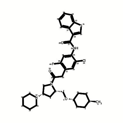 C[C@H]1CC[C@H](OC[C@@H]2C[C@H](N3CCCCC3)CN2C(=O)Cc2cc(Cl)c(NC(=O)c3csc4ccccc34)cc2F)CC1